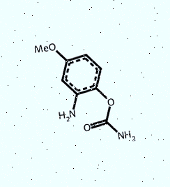 COc1ccc(OC(N)=O)c(N)c1